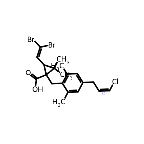 Cc1cc(C/C=C\Cl)cc(C)c1CC1(C(=O)O)C(C=C(Br)Br)C1(C)C